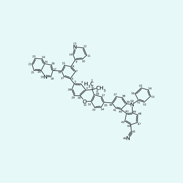 CC1(C)c2cc(-c3cc(-c4cccnc4)cc(-c4cnc5ccccc5c4)c3)ccc2Oc2ccc(-c3ccc4c(c3)c3cc(C#N)ccc3n4-c3ccccc3)cc21